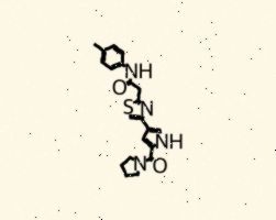 Cc1ccc(NC(=O)Cc2nc(-c3c[nH]c(C(=O)N4CCCC4)c3)cs2)cc1